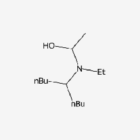 CCCCC(CCCC)N(CC)C(C)O